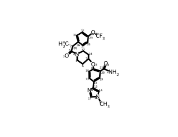 C[C@@H](C(=O)N1CCC(Oc2ccc(-c3cn(C)cn3)cc2C(N)=O)CC1)c1ccc(OC(F)(F)F)cc1